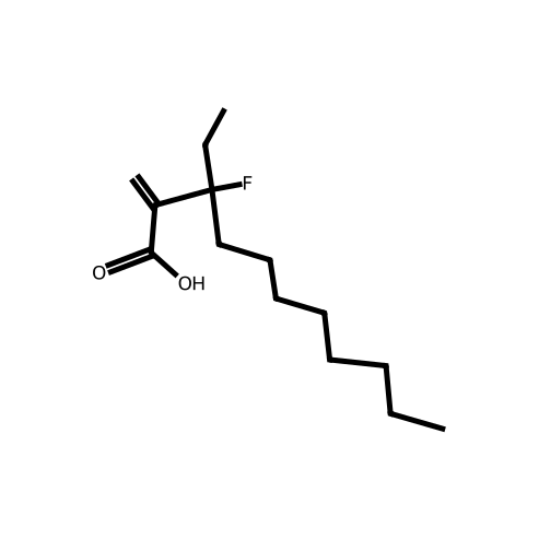 C=C(C(=O)O)C(F)(CC)CCCCCCCC